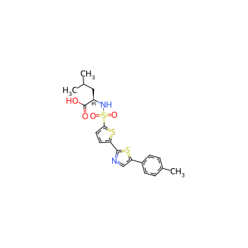 Cc1ccc(-c2cnc(-c3ccc(S(=O)(=O)N[C@H](CC(C)C)C(=O)O)s3)s2)cc1